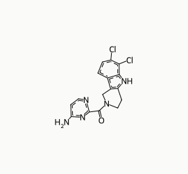 Nc1ccnc(C(=O)N2CCc3[nH]c4c(Cl)c(Cl)ccc4c3C2)n1